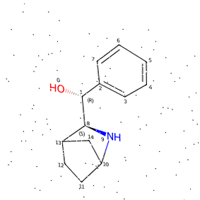 O[C@H](c1ccccc1)[C@H]1NC2CCC1C2